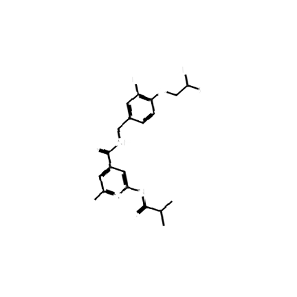 Cc1cc(C(=O)NCc2ccc(OCC(F)F)c(F)c2)cc(NC(=O)C(C)C)n1